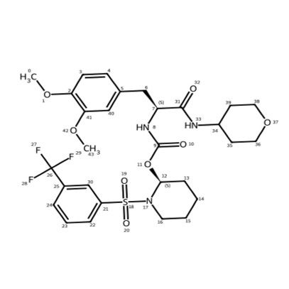 COc1ccc(C[C@H](NC(=O)O[C@H]2CCCCN2S(=O)(=O)c2cccc(C(F)(F)F)c2)C(=O)NC2CCOCC2)cc1OC